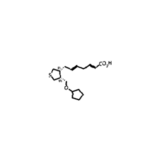 O=C(O)C=CCC=CC[C@H]1CSC[C@H]1COC1CCCC1